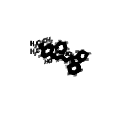 CC(C)(C)c1ccc(C(O)(CCCC(O)(c2ccccc2)C2CCCCC2)N2CCCCC2)cc1